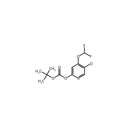 CC(C)(C)OC(=O)Oc1cc(OC(F)F)c(Cl)cn1